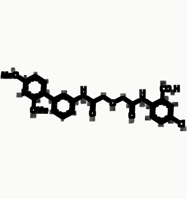 COc1ccc(-c2cccc(NC(=O)COCC(=O)Nc3ccc(Cl)cc3C(=O)O)c2)c(OC)n1